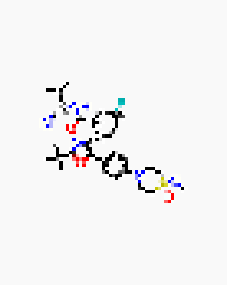 CN=S1(=O)CCN(c2ccc(-c3oc(C(C)(C)C)nc3[C@@H]3CC[C@H](F)C[C@H]3C(=O)N[C@H](C#N)C(C)C)cc2)CC1